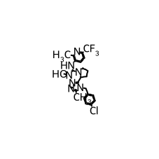 Cc1nc(C(F)(F)F)ccc1NC(=NO)N1CCCC1c1nnc(C)n1Cc1ccc(Cl)cc1